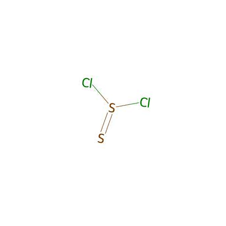 S=S(Cl)Cl